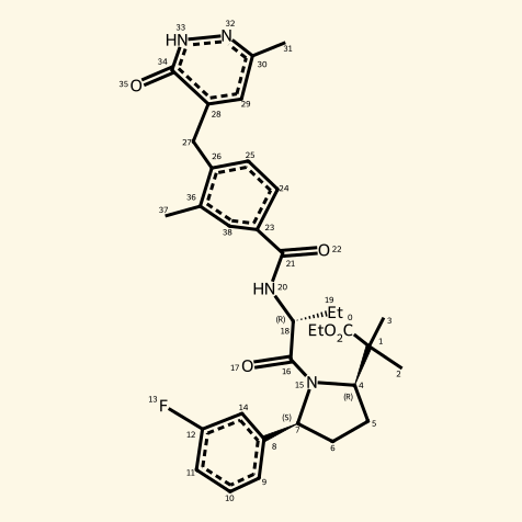 CCOC(=O)C(C)(C)[C@H]1CC[C@@H](c2cccc(F)c2)N1C(=O)[C@@H](CC)NC(=O)c1ccc(Cc2cc(C)n[nH]c2=O)c(C)c1